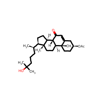 CC(=O)O[C@H]1CC[C@@]2(C)C(=CC(=O)[C@H]3[C@@H]4CC[C@H]([C@H](C)CCCC(C)(C)O)[C@@]4(C)CC[C@@H]32)C1